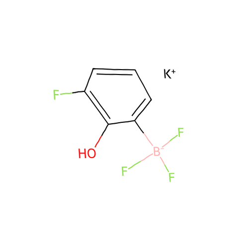 Oc1c(F)cccc1[B-](F)(F)F.[K+]